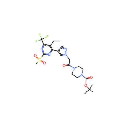 CCc1c(-c2cnn(CC(=O)N3CCN(C(=O)OC(C)(C)C)CC3)c2)nc(S(C)(=O)=O)nc1C(F)(F)F